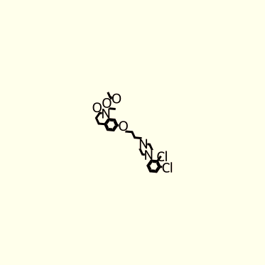 CC(=O)OC(C)N1C(=O)CCc2ccc(OCCCCN3CCN(c4cccc(Cl)c4Cl)CC3)cc21